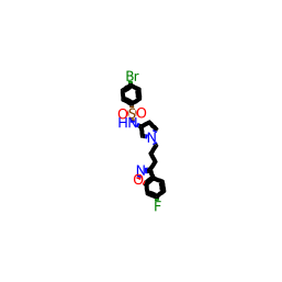 O=S(=O)(NC1CCN(CCCc2noc3cc(F)ccc23)C1)c1ccc(Br)cc1